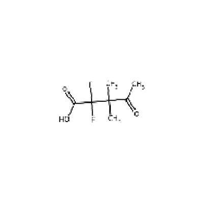 CC(=O)C(C)(C)C(F)(F)C(=O)O